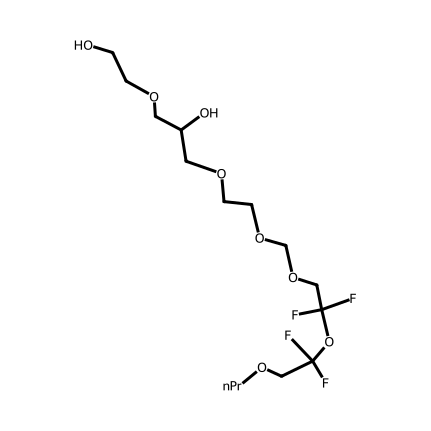 CCCOCC(F)(F)OC(F)(F)COCOCCOCC(O)COCCO